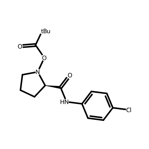 CC(C)(C)C(=O)ON1CCC[C@@H]1C(=O)Nc1ccc(Cl)cc1